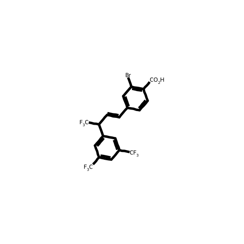 O=C(O)c1ccc(C=CC(c2cc(C(F)(F)F)cc(C(F)(F)F)c2)C(F)(F)F)cc1Br